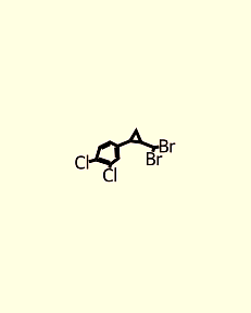 Clc1ccc(C2CC2C(Br)Br)cc1Cl